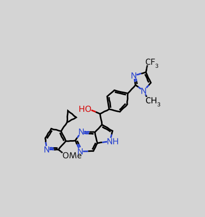 COc1nccc(C2CC2)c1-c1ncc2[nH]cc(C(O)c3ccc(-c4nc(C(F)(F)F)cn4C)cc3)c2n1